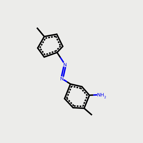 Cc1ccc(N=Nc2ccc(C)c(N)c2)cc1